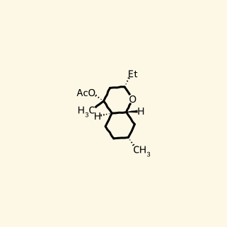 CC[C@H]1C[C@@](C)(OC(C)=O)[C@@H]2CC[C@@H](C)C[C@H]2O1